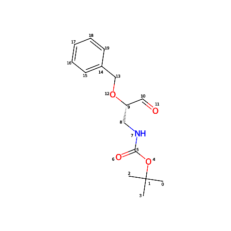 CC(C)(C)OC(=O)NC[C@@H](C=O)OCc1ccccc1